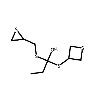 CCC(O)(SCC1CS1)SC1CSC1